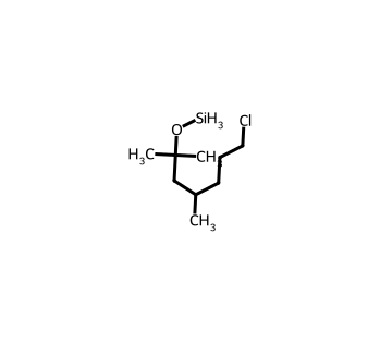 CC(CCCCl)CC(C)(C)O[SiH3]